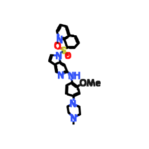 COc1cc(N2CCN(C)CC2)ccc1Nc1cc2c(ccn2S(=O)(=O)c2cccc3cccnc23)cn1